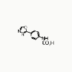 O=C(O)Nc1ccc(-c2nnco2)cc1